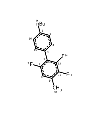 CCCCc1ccc(-c2c(F)cc(C)c(F)c2F)cc1